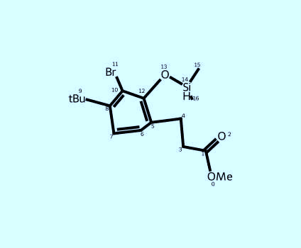 COC(=O)CCc1ccc(C(C)(C)C)c(Br)c1O[SiH](C)C